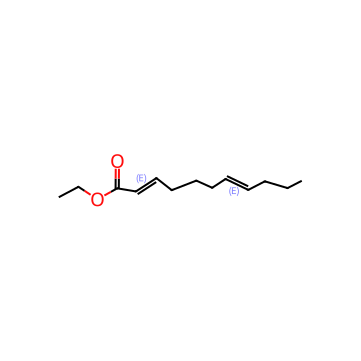 CCC/C=C/CCC/C=C/C(=O)OCC